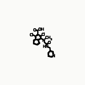 CN(CC(=O)NCc1cccnc1)c1c(Cl)c(C(=O)O)c(Cl)c2ccccc12